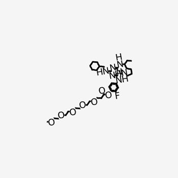 CCC(Nc1nc(NCC2CCCCC2)nc(Nc2ccc(OC(=O)CCOCCOCCOCCOCCOC)c(F)c2)n1)C1CCCN1